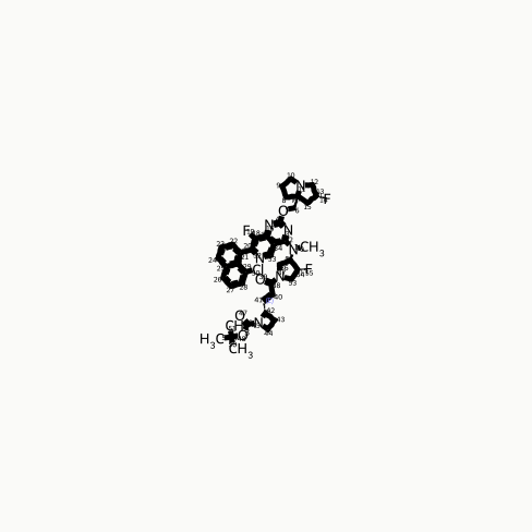 CN(c1nc(OC[C@@]23CCCN2C[C@H](F)C3)nc2c(F)c(-c3cccc4cccc(Cl)c34)ncc12)[C@@H]1CN(C(=O)/C=C/[C@@H]2CCN2C(=O)OC(C)(C)C)C[C@H]1F